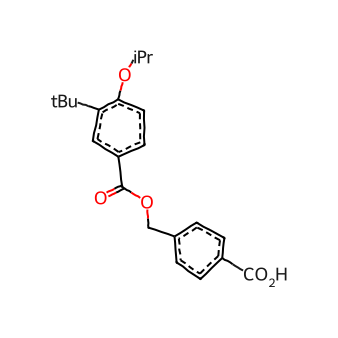 CC(C)Oc1ccc(C(=O)OCc2ccc(C(=O)O)cc2)cc1C(C)(C)C